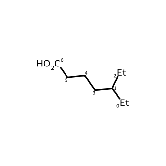 CCC(CC)CCCC(=O)O